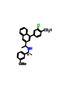 COc1cccc([C@@H](C)NC(C)c2cc(-c3ccc(C(=O)O)c(Cl)c3)c3ccccc3c2)c1